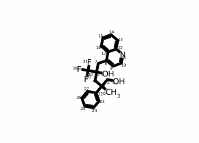 CC(CO)(CC(O)(Cc1ccnc2ccccc12)C(F)(F)F)c1ccccc1